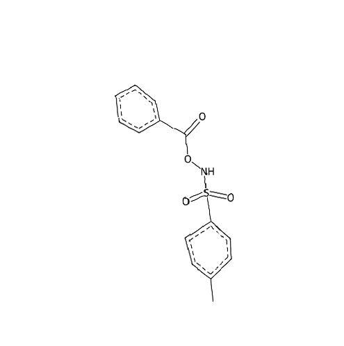 Cc1ccc(S(=O)(=O)NOC(=O)c2ccccc2)cc1